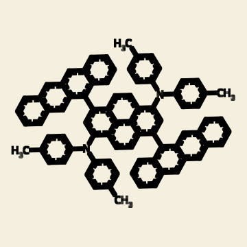 Cc1ccc(N(c2ccc(C)cc2)c2cc(-c3c4ccccc4cc4cc5ccccc5cc34)c3ccc4c(N(c5ccc(C)cc5)c5ccc(C)cc5)cc(-c5c6ccccc6cc6cc7ccccc7cc56)c5ccc2c3c54)cc1